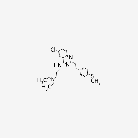 CCN(CC)CCCNc1nc(/C=C/c2ccc(SC)cc2)nc2ccc(Cl)cc12